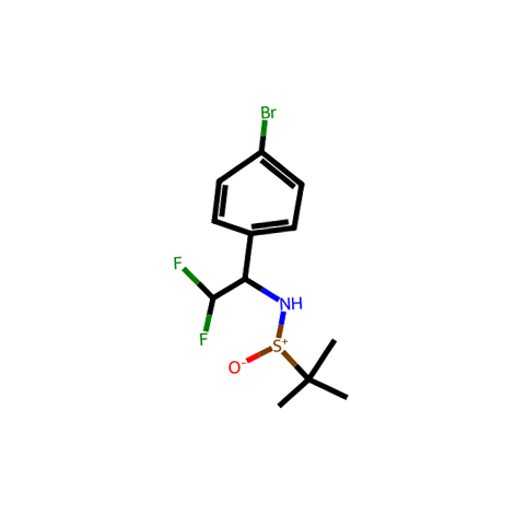 CC(C)(C)[S+]([O-])NC(c1ccc(Br)cc1)C(F)F